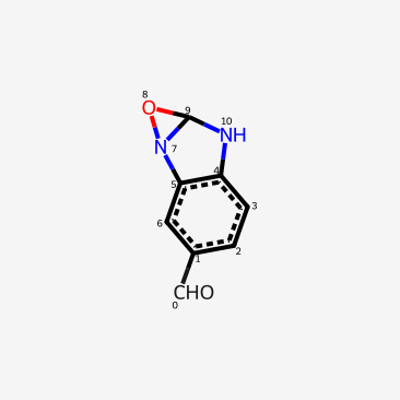 O=Cc1ccc2c(c1)N1OC1N2